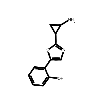 NC1CC1c1ncc(-c2ccccc2O)s1